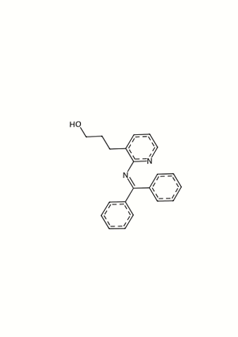 OCCCc1cccnc1N=C(c1ccccc1)c1ccccc1